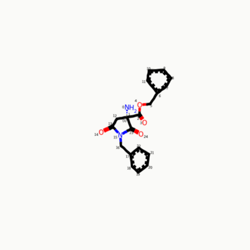 N[C@@]1(C(=O)OCc2ccccc2)CC(=O)N(Cc2ccccc2)C1=O